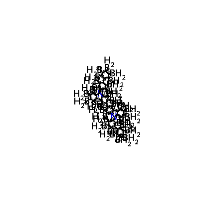 Bc1c(B)c(B)c(-c2c(B)c(B)c(-n3c4c(B)c(B)c(B)c(B)c4c4c(B)c(-c5c(B)c(B)c6c(c5B)c5c(B)c(B)c(B)c(B)c5n6-c5c(B)c(B)c(B)c(-c6c(B)c(B)c(B)c(B)c6B)c5B)c(B)c(B)c43)c(B)c2B)c(B)c1B